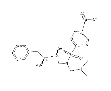 CC(C)CN(C[C@H](O)[C@@H](N)Cc1ccccc1)S(=O)(=O)c1ccc([N+](=O)[O-])cc1